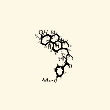 COc1ccc(C(=O)N[C@H](C)[C@H]2CC[C@H]3[C@@H]4CC[C@@H]5C[C@](C)(O)CC[C@@H]5[C@H]4CC[C@]23C)cc1